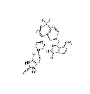 Cc1cccc2c(=O)[nH]nc(Cc3ccc(C(F)(F)F)c(C(=O)N4CCN(c5ccc6[nH]c(=O)[nH]c6n5)CC4)c3)c12